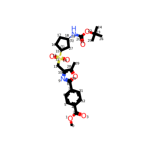 COC(=O)c1ccc(-c2nc(CS(=O)(=O)[C@H]3CC[C@H](NC(=O)OC(C)(C)C)C3)c(C)o2)cc1